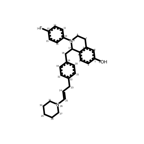 Oc1ccc2c(c1)CCN(c1ccc(F)cc1)C2Cc1ccc(CC=CN2CCCCC2)cc1